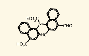 CCOC(=O)N(c1ccc(C(=O)O)c2ccccc12)c1c(C=O)cc(C=O)c2ccccc12